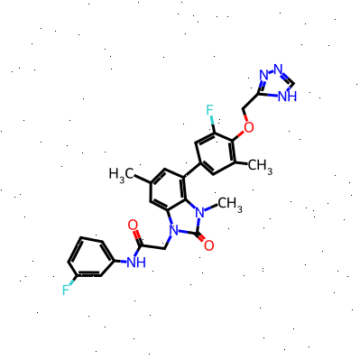 Cc1cc(-c2cc(C)c(OCc3nnc[nH]3)c(F)c2)c2c(c1)n(CC(=O)Nc1cccc(F)c1)c(=O)n2C